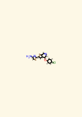 Nc1csc(-c2cc3c(Oc4ccc(Cl)cc4)cncc3s2)n1